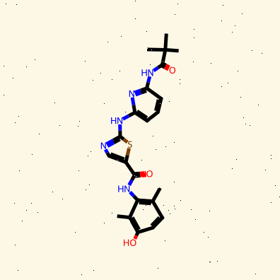 Cc1ccc(O)c(C)c1NC(=O)c1cnc(Nc2cccc(NC(=O)C(C)(C)C)n2)s1